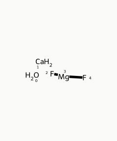 O.[CaH2].[F][Mg][F]